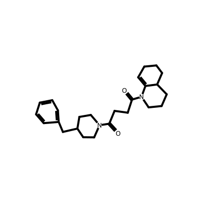 O=C(CCC(=O)N1CCCC2CCCC=C21)N1CCC(Cc2ccccc2)CC1